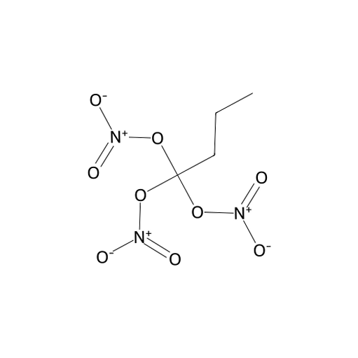 CCCC(O[N+](=O)[O-])(O[N+](=O)[O-])O[N+](=O)[O-]